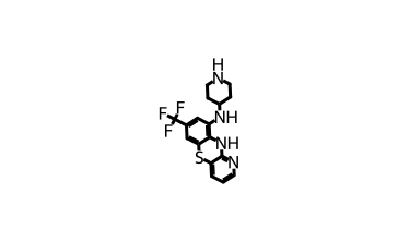 FC(F)(F)c1cc(NC2CCNCC2)c2c(c1)Sc1cccnc1N2